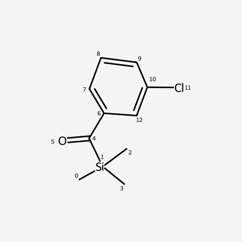 C[Si](C)(C)C(=O)c1cccc(Cl)c1